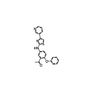 CC(=O)c1cc(Nc2nc(-c3cccnc3)cs2)ccc1Oc1ccccc1